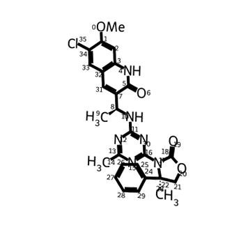 COc1cc2[nH]c(=O)c([C@H](C)Nc3nc(C)nc(N4C(=O)OC[C@@]4(C)c4ccccc4)n3)cc2cc1Cl